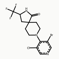 O=C1NC(C(F)(F)F)CC12CCN(c1c(Cl)cncc1Br)CC2